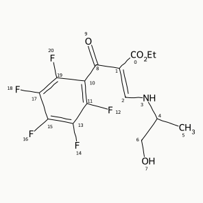 CCOC(=O)C(=CNC(C)CO)C(=O)c1c(F)c(F)c(F)c(F)c1F